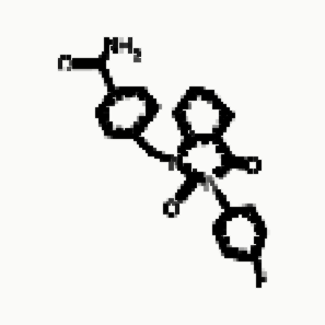 NC(=O)c1ccc(Cn2c(=O)n(-c3ccc(F)cc3)c(=O)c3ccccc32)cc1